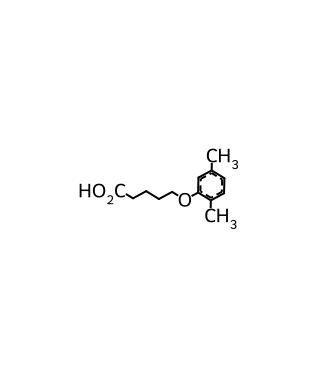 Cc1ccc(C)c(OCCCCC(=O)O)c1